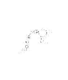 CC[C@H]1OC(=O)[C@H](C)[C@@H](O[C@H]2C[C@@](C)(OC)[C@@H](O)[C@H](C)O2)[C@H](C)[C@@H](O[C@@H]2O[C@H](C)C[C@H](N(C)CCc3cn(C[C@H]4CN(c5ccc([C@@H](O)[C@H](CO)N(CC)CC)cc5)C(=O)O4)nn3)[C@H]2O)[C@](C)(O)CCN(C)[C@H](C)[C@@H](O)[C@]1(C)O